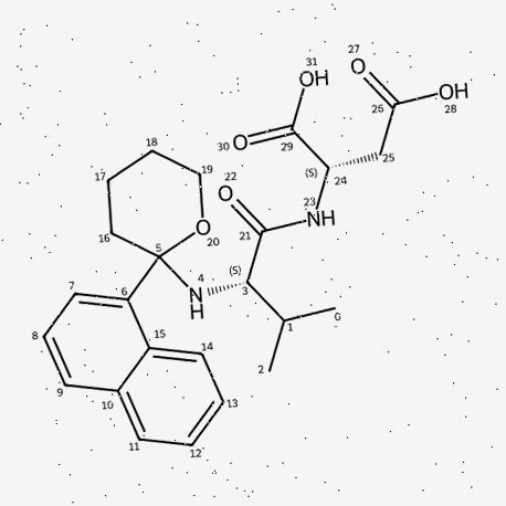 CC(C)[C@H](NC1(c2cccc3ccccc23)CCCCO1)C(=O)N[C@@H](CC(=O)O)C(=O)O